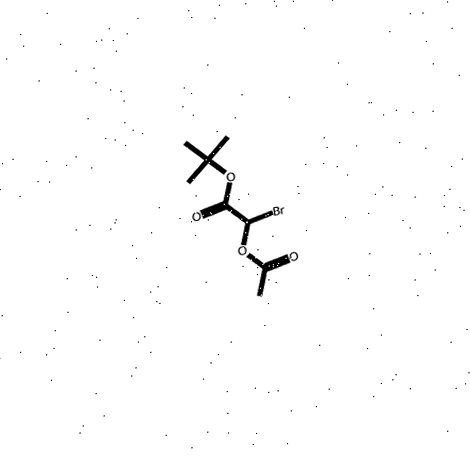 CC(=O)OC(Br)C(=O)OC(C)(C)C